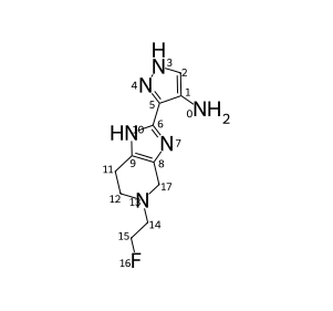 Nc1c[nH]nc1-c1nc2c([nH]1)CCN(CCF)C2